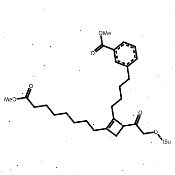 COC(=O)CCCCCCCC1=C(CCCCc2cccc(C(=O)OC)c2)C(C(=O)COC(C)(C)C)C1